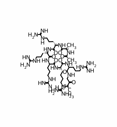 CC(=O)N[C@@H](C)C(=O)N[C@@H](CCCNC(=N)N)C(=O)N[C@@H](CCCNC(=N)N)C(=O)NC(CCCNC(=N)N)C(=O)N[C@@H](CCCCNC(=N)N)C(=O)NC(CCCNC(=N)N)C(=O)NCC(=O)C(C)C